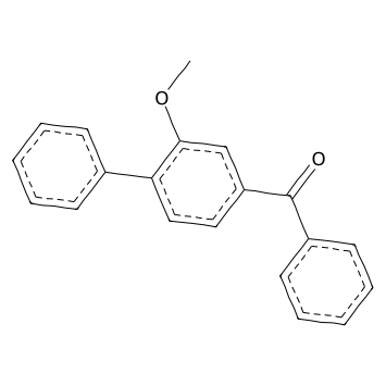 COc1cc(C(=O)c2ccccc2)ccc1-c1ccccc1